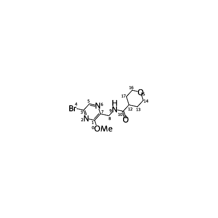 COc1nc(Br)cnc1CNC(=O)C1CCOCC1